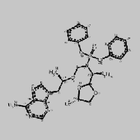 CC[C@H]1COC([C@H](C)N(CO[C@H](C)Cn2cnc3c(N)ncnc32)P(=O)(Oc2ccccc2)Oc2ccccc2)O1